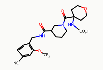 N#Cc1ccc(CNC(=O)C2CCCN(C(=O)C3(NC(=O)O)CCOCC3)C2)c(OC(F)(F)F)c1